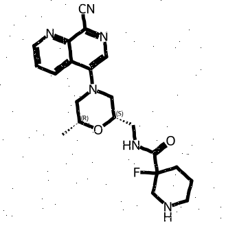 C[C@@H]1CN(c2cnc(C#N)c3ncccc23)C[C@H](CNC(=O)C2(F)CCCNC2)O1